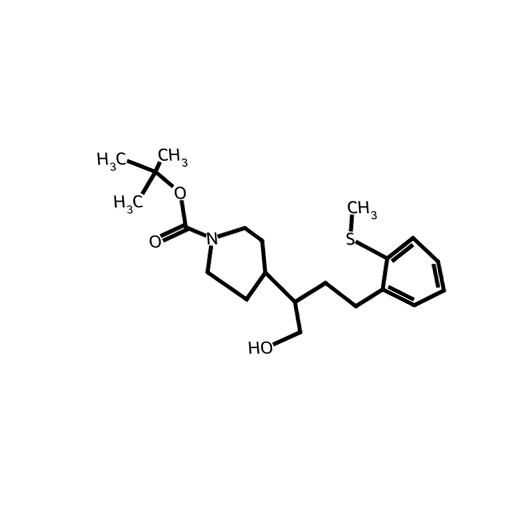 CSc1ccccc1CCC(CO)C1CCN(C(=O)OC(C)(C)C)CC1